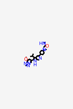 CNC(=O)CN(C)C1CCC(c2cc3c(C(C)C)c(-c4cc(OC)c5ncnn5c4)[nH]c3cn2)CC1